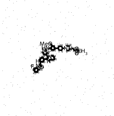 COc1cc(C2CCC(N3CCN(CCS(C)(=O)=O)CC3)CC2)ccc1Nc1nccc(-c2c(-c3cccc(C(=O)Nc4c(F)cccc4F)c3)nc3ccccn23)n1